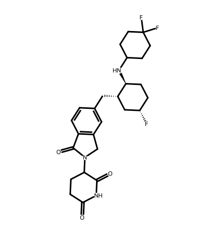 O=C1CCC(N2Cc3cc(C[C@H]4C[C@@H](F)CC[C@@H]4NC4CCC(F)(F)CC4)ccc3C2=O)C(=O)N1